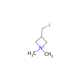 C[N+]1(C)CC(CI)C1